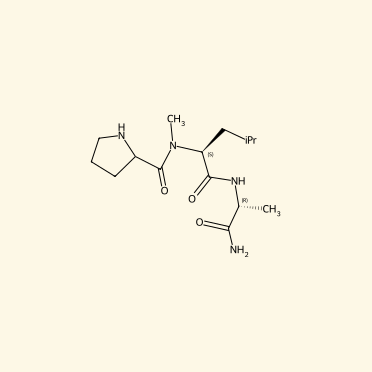 CC(C)C[C@@H](C(=O)N[C@H](C)C(N)=O)N(C)C(=O)C1CCCN1